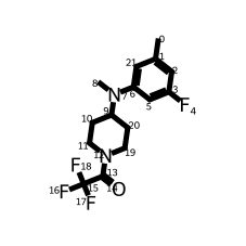 Cc1cc(F)cc(N(C)C2CCN(C(=O)C(F)(F)F)CC2)c1